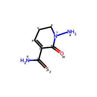 NC(=S)C1=CCCN(N)C1=O